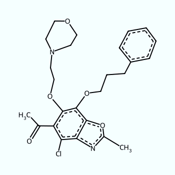 CC(=O)c1c(OCCN2CCOCC2)c(OCCCc2ccccc2)c2oc(C)nc2c1Cl